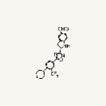 O=Cc1ccc2c(c1)CC(c1noc(-c3ccc(C4CCCCC4)c(C(F)(F)F)c3)n1)N2